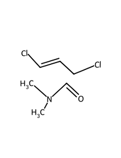 CN(C)C=O.ClC=CCCl